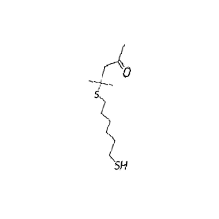 CC(=O)CC(C)(C)SCCCCCCS